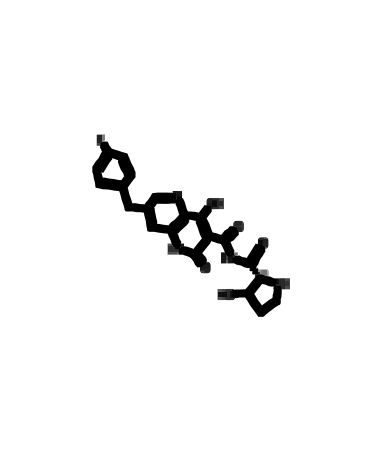 O=C(NC(=O)[C@@H]1NCCC1O)c1c(O)c2ncc(Cc3ccc(F)cc3)cc2[nH]c1=O